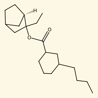 CCCCC1CCCC(C(=O)OC2(CC)CC3CC[C@@H]2C3)C1